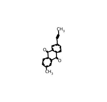 CC#Cc1ccc2c(c1)C(=O)c1ccc(C)cc1C2=O